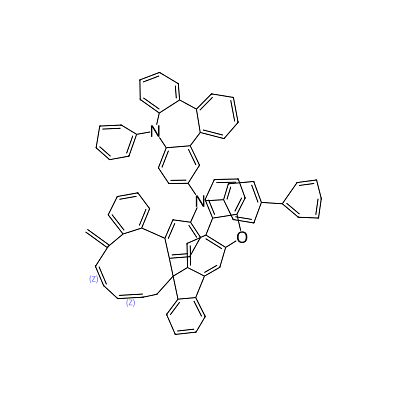 C=C1/C=C\C=C/CC2(c3ccc(N(c4ccc(-c5ccccc5)cc4)c4ccc5c(c4)-c4ccccc4-c4ccccc4N5c4ccccc4)cc3-c3ccccc31)c1ccccc1-c1cc3oc4ccccc4c3cc12